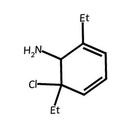 CCC1=CC=CC(Cl)(CC)C1N